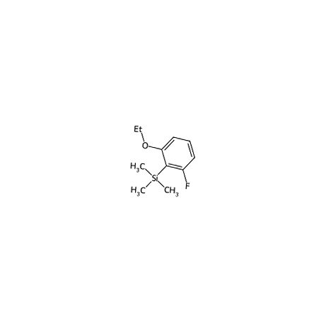 CCOc1cccc(F)c1[Si](C)(C)C